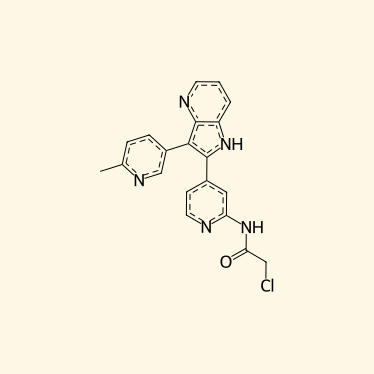 Cc1ccc(-c2c(-c3ccnc(NC(=O)CCl)c3)[nH]c3cccnc23)cn1